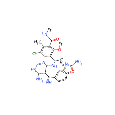 CCNC(=O)c1c(C)c(Cl)cc(C(C)NC2N=CNC(N)C2C(=N)c2ccc3oc(N)nc3c2)c1OCC